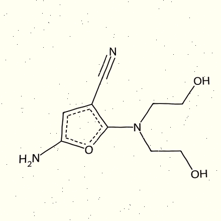 N#Cc1cc(N)oc1N(CCO)CCO